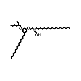 CCCCCCCCCCCCCCCCCCN(CCO)CCOc1cc(CCCCCCCCCCCCCCC)cc(OCC(CC)CCCC)c1